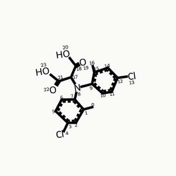 Cc1cc(Cl)ccc1N(c1ccc(Cl)cc1C)C(C(=O)O)C(=O)O